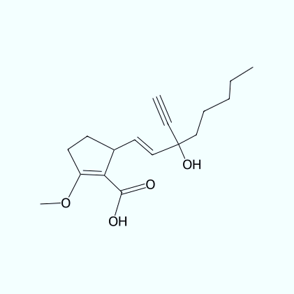 C#CC(O)(C=CC1CCC(OC)=C1C(=O)O)CCCCC